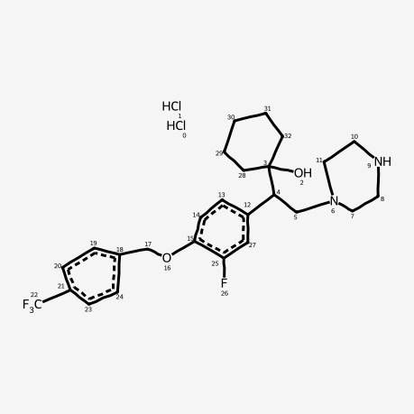 Cl.Cl.OC1(C(CN2CCNCC2)c2ccc(OCc3ccc(C(F)(F)F)cc3)c(F)c2)CCCCC1